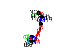 CC(C)(C)C[C@@H]1N[C@@H](C(=O)NCCOCCOCCOc2ccc(C(=O)N[C@H]3C(C)(C)[C@H](Oc4ccc(C#N)c(Cl)c4)C3(C)C)cc2)[C@H](c2cccc(Cl)c2F)[C@@]1(C#N)c1ccc(Cl)cc1F